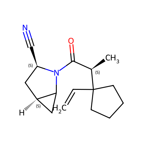 C=CC1([C@H](C)C(=O)N2C3C[C@H]3C[C@H]2C#N)CCCC1